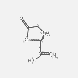 C=C(C)C1NCC(=O)O1